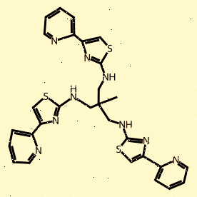 CC(CNc1nc(-c2ccccn2)cs1)(CNc1nc(-c2ccccn2)cs1)CNc1nc(-c2ccccn2)cs1